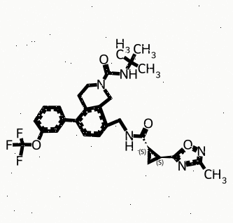 Cc1noc([C@H]2C[C@@H]2C(=O)NCc2ccc(-c3cccc(OC(F)(F)F)c3)c3c2CN(C(=O)NC(C)(C)C)CC3)n1